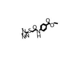 CCOC(=O)c1ccc(NC(=O)CSc2nncn2C)cc1